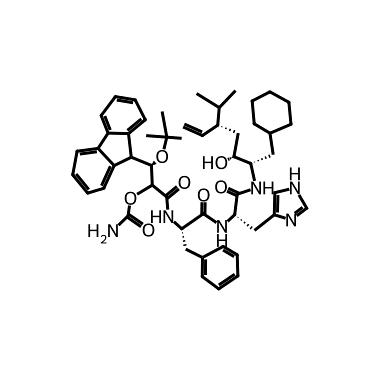 C=C[C@@H](C[C@@H](O)[C@H](CC1CCCCC1)NC(=O)[C@H](Cc1c[nH]cn1)NC(=O)[C@H](Cc1ccccc1)NC(=O)C(OC(N)=O)[C@H](OC(C)(C)C)C1c2ccccc2-c2ccccc21)C(C)C